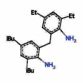 CCc1cc(CC)c(N)c(Cc2cc(C(C)CC)cc(C(C)CC)c2N)c1